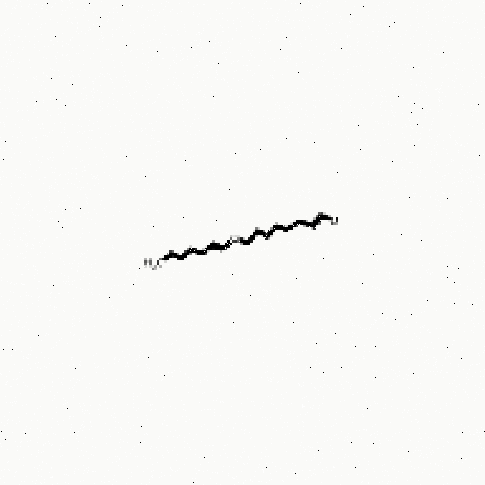 CCCCCC=COCCCCCCC=C[O]